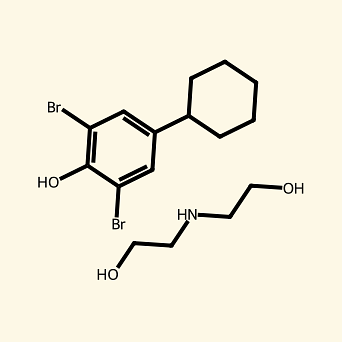 OCCNCCO.Oc1c(Br)cc(C2CCCCC2)cc1Br